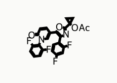 CC(=O)OC1(c2nc(-c3ccc(F)cc3F)c(-c3ccc(=O)n(-c4c(F)cccc4F)c3)o2)CC1